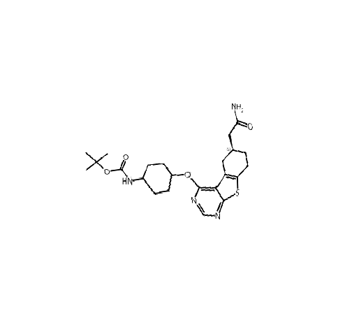 CC(C)(C)OC(=O)NC1CCC(Oc2ncnc3sc4c(c23)C[C@@H](CC(N)=O)CC4)CC1